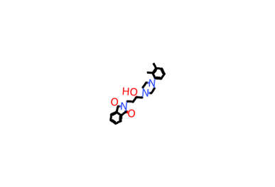 Cc1cccc(N2CCN(CC(O)CCN3C(=O)c4ccccc4C3=O)CC2)c1C